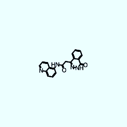 O=C(Cc1n[nH]c(=O)c2ccccc12)Nc1cccc2ncccc12